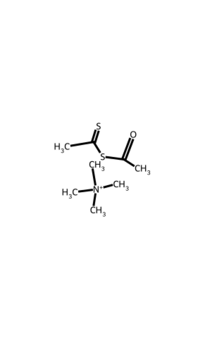 CC(=O)SC(C)=S.C[N+](C)(C)C